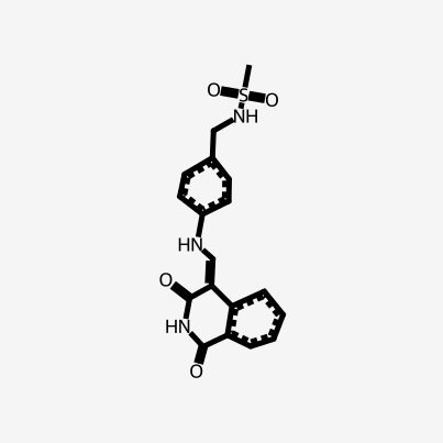 CS(=O)(=O)NCc1ccc(N/C=C2\C(=O)NC(=O)c3ccccc32)cc1